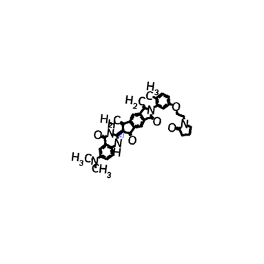 C=C1/C(=C2\NC(=O)c3cc(N(C)C)ccc3N2)C(=O)c2cc3c(cc21)C(=C)N(c1cc(OCCN2CCCC2=O)ccc1C)C3=O